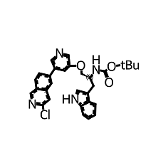 CC(C)(C)OC(=O)N[C@H](COc1cncc(-c2ccc3cnc(Cl)cc3c2)c1)Cc1c[nH]c2ccccc12